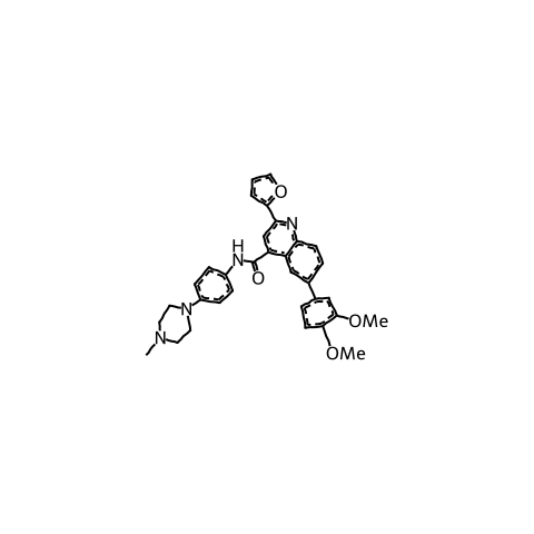 COc1ccc(-c2ccc3nc(-c4ccco4)cc(C(=O)Nc4ccc(N5CCN(C)CC5)cc4)c3c2)cc1OC